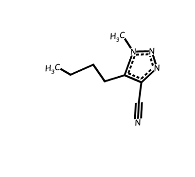 CCCCc1c(C#N)nnn1C